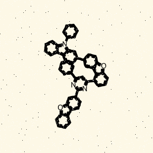 c1ccc(-c2cc(-c3cccc4oc5ccc(-c6ccc7c8ccccc8n(-c8ccccc8)c7c6)cc5c34)nc(-c3ccc4c(c3)oc3ccccc34)n2)cc1